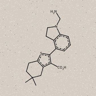 CC1(C)CCc2sc(-c3cccc4c3CCN4CN)c(C(=O)O)c2C1